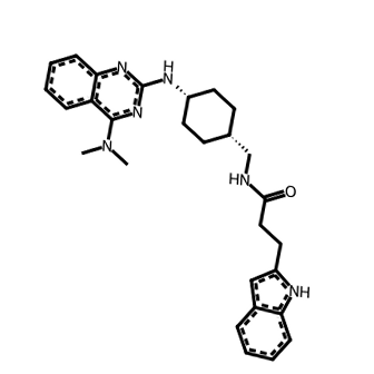 CN(C)c1nc(N[C@H]2CC[C@@H](CNC(=O)CCc3cc4ccccc4[nH]3)CC2)nc2ccccc12